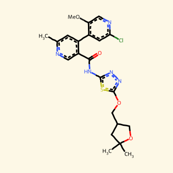 COc1cnc(Cl)cc1-c1cc(C)ncc1C(=O)Nc1nnc(OCC2COC(C)(C)C2)s1